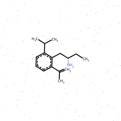 C=C(C)c1cccc(C(C)C)c1C[C@@H](N)CC